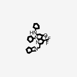 O=c1cc(Nc2ccccc2)n(-c2ccccc2)c2nc(CN3Cc4ccccc4C3)cc(C(F)(F)F)c12